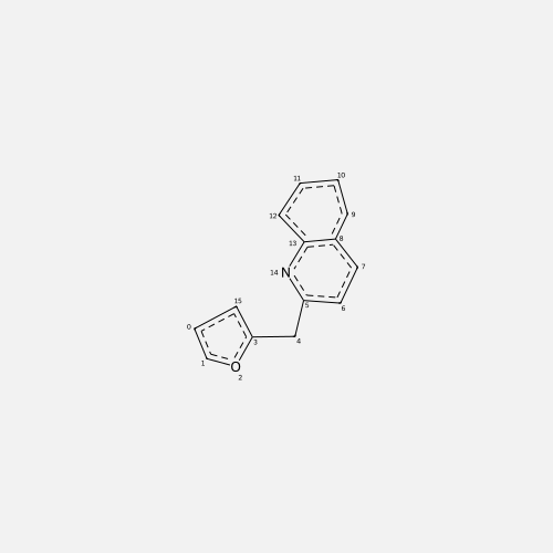 c1coc(Cc2ccc3ccccc3n2)c1